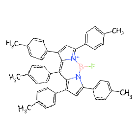 Cc1ccc(C2=CC(c3ccc(C)cc3)=[N+]3B(F)n4c(-c5ccc(C)cc5)cc(-c5ccc(C)cc5)c4C(c4ccc(C)cc4)=C23)cc1